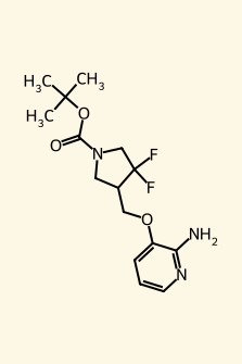 CC(C)(C)OC(=O)N1CC(COc2cccnc2N)C(F)(F)C1